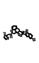 O=C(CN1C(=O)C(NC(=O)c2cc3cc(Cl)ccc3[nH]2)Cc2ccccc21)NCc1ncc[nH]1